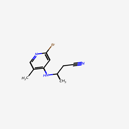 Cc1cnc(Br)cc1NC(C)CC#N